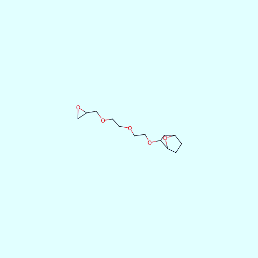 C(COCC1CO1)OCCOC1CC2CCC1O2